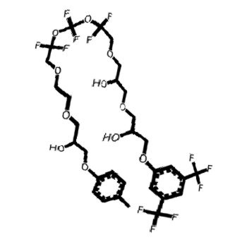 Cc1ccc(OCC(O)COCCOCC(F)(F)OC(F)(F)OC(F)(F)COCC(O)COCC(O)COc2cc(C(F)(F)F)cc(C(F)(F)F)c2)cc1